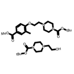 CC(C)(C)OC(=O)N1CCN(CCO)CC1.COC(=O)c1ccc(OCCN2CCN(C(=O)OC(C)(C)C)CC2)c(C)c1